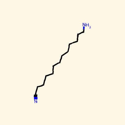 N#CCCCCCCCCCCCCN